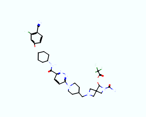 N#Cc1ccc(O[C@H]2CC[C@H](NC(=O)c3ccc(N4CCC(CN5CC6(C5)CN(C(N)=O)C6OC(=O)C(F)(F)F)CC4)nn3)CC2)cc1Cl